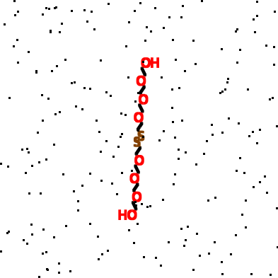 OCCOCCOCCOCCSSCCOCCOCCOCCO